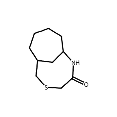 O=C1CSCC2CCCCC(C2)N1